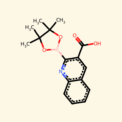 CC1(C)OB(c2nc3ccccc3cc2C(=O)O)OC1(C)C